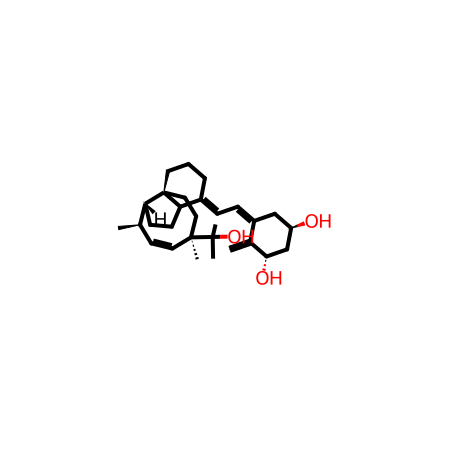 C=C1C(=CC=C2CCC[C@]34CC[C@@](C)(C(C)(C)O)/C=C\[C@@H](C)[C@H]3CCC24)C[C@@H](O)C[C@@H]1O